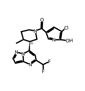 CC1CCN(C(=O)c2cnc(O)c(Cl)c2)C[C@H]1c1cc(C(F)F)nc2ccnn12